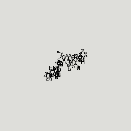 CCCO[C@H](C[C@H](C(C)C)N(CCC)C(=O)[C@@H](NC(=O)[C@H]1CCCCN1)[C@@H](C)CC)c1nc(C(=O)NC(Cc2ccccc2)c2nnn[nH]2)cs1